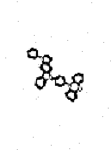 c1ccc(-n2ccc3cc4c(cc32)c2ccccc2n4-c2ccc(N3c4ccccc4Oc4ccccc43)cc2)cc1